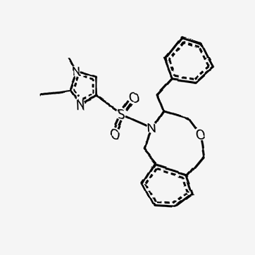 Cc1nc(S(=O)(=O)N2Cc3ccccc3COCC2Cc2ccccc2)cn1C